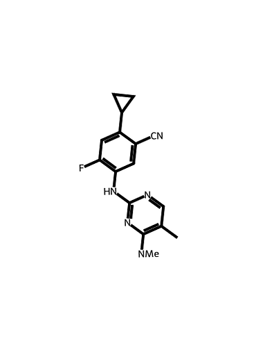 CNc1nc(Nc2cc(C#N)c(C3CC3)cc2F)ncc1C